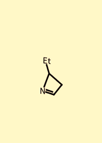 CCC1CC=N1